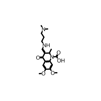 COc1cc2c(cc1OC)N(C(=O)O)C(C)C(=CNCCCN(C)C)C2=O